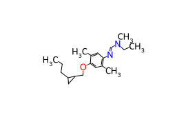 CCCC1CC1COc1cc(C)c(N=CN(C)CC)cc1C